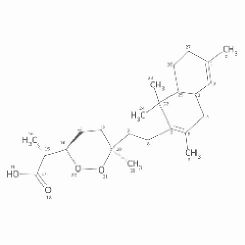 CC1=CC2CC(C)=C(CC[C@]3(C)CC[C@H]([C@@H](C)C(=O)O)OO3)C(C)(C)C2CC1